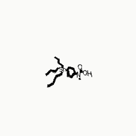 CCC[CH2][Sn]([CH2]CCC)([CH2]CCC)[c]1ccc(N(C)C(=O)O)cc1